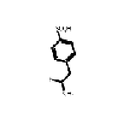 CC(F)Cc1ccc(S(=O)(=O)O)cc1